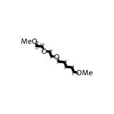 COCCCCCOCCOCCOC